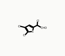 O=CC(Cl)c1cc(Cl)c(Cl)s1